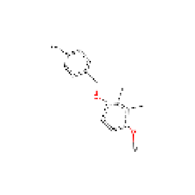 CCCOc1ccc(OCc2ccc(CC)cc2)c(C)c1C